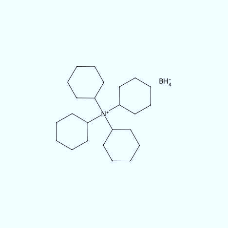 C1CCC([N+](C2CCCCC2)(C2CCCCC2)C2CCCCC2)CC1.[BH4-]